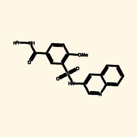 CCCNC(=O)c1ccc(OC)c(S(=O)(=O)Nc2cnc3ccccc3c2)c1